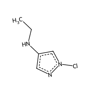 CCNc1cnn(Cl)c1